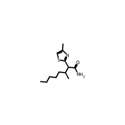 CCCCCC(C)C(C(N)=O)c1nc(C)cs1